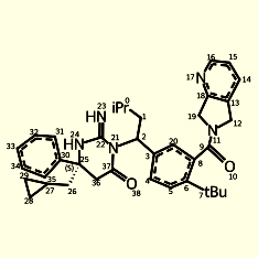 CC(C)CC(c1ccc(C(C)(C)C)c(C(=O)N2Cc3cccnc3C2)c1)N1C(=N)N[C@](CC2CC2)(c2ccccc2)CC1=O